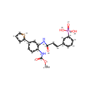 CC(C)(C)OC(=O)Nc1ccc(-c2cccs2)cc1NC(=O)/C=C/c1cccc(P(=O)(O)O)c1